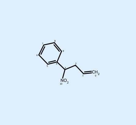 C=C[CH]C(c1ccccc1)[N+](=O)[O-]